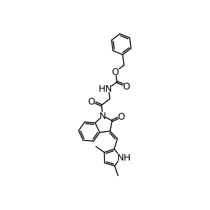 Cc1cc(C)c(C=C2C(=O)N(C(=O)CNC(=O)OCc3ccccc3)c3ccccc32)[nH]1